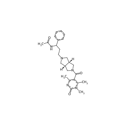 CC(=O)NC(CCN1C[C@@H]2CN(C(=O)c3c(C)nc(=O)n(C)c3C)C[C@@H]2C1)c1ccccc1